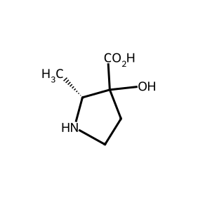 C[C@H]1NCCC1(O)C(=O)O